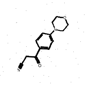 N#CCC(=O)c1ccc(N2CCOCC2)cc1